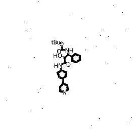 CC(C)(C)OC(=O)N[C@@H](c1ccccc1)[C@@H](O)C(=O)Nc1ccc(-c2ccncc2)cc1